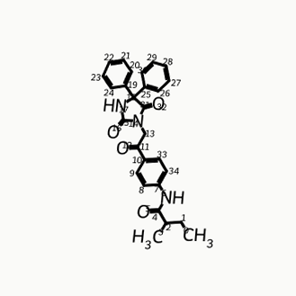 CCC(C)C(=O)Nc1ccc(C(=O)CN2C(=O)NC(c3ccccc3)(c3ccccc3)C2=O)cc1